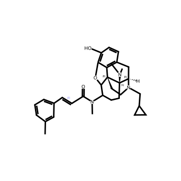 Cc1cccc(/C=C/C(=O)N(C)C2CC[C@@]3(N(C)C)[C@H]4Cc5ccc(O)c6c5[C@@]3(CCN4CC3CC3)C2O6)c1